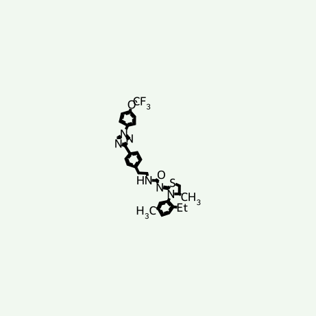 CCc1ccc(C)cc1N1C(=NC(=O)NCCc2ccc(-c3ncn(-c4ccc(OC(F)(F)F)cc4)n3)cc2)SCC1C